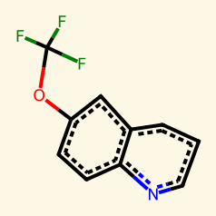 FC(F)(F)Oc1ccc2ncccc2c1